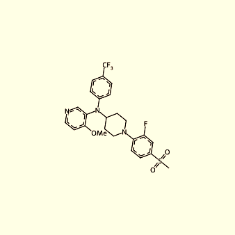 COc1ccncc1N(c1ccc(C(F)(F)F)cc1)C1CCN(c2ccc(S(C)(=O)=O)cc2F)CC1